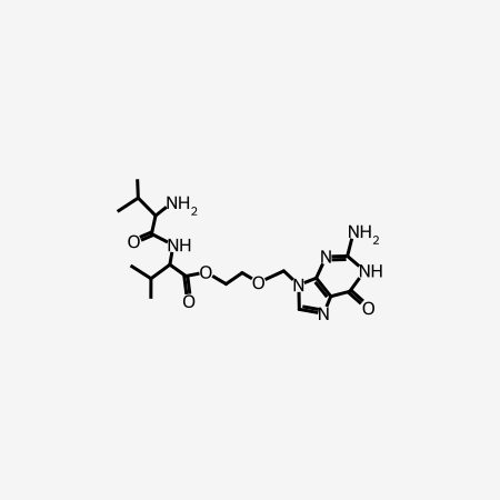 CC(C)C(N)C(=O)NC(C(=O)OCCOCn1cnc2c(=O)[nH]c(N)nc21)C(C)C